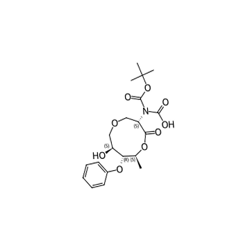 C[C@@H]1OC(=O)[C@@H](N(C(=O)O)C(=O)OC(C)(C)C)COC[C@H](O)[C@H]1Oc1ccccc1